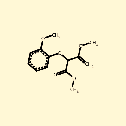 C=C(OC)C(Oc1ccccc1OC)C(=O)OC